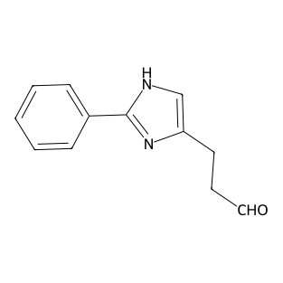 O=CCCc1c[nH]c(-c2ccccc2)n1